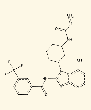 C=CC(=O)NC1CCCC(n2c(NC(=O)c3cccc(C(F)(F)F)c3)nc3cccc(C)c32)C1